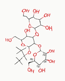 CC(C)(C)C(C)(OC1OC(CO)C(O)C(OC2OC(CO)C(O)C(O)C2O)C1OC1O[C@H](CO)[C@@H](O)[C@H](O)[C@@H]1O)C(C)(C)C